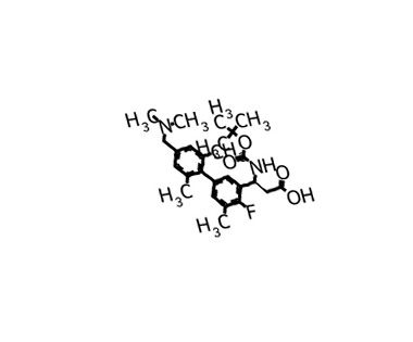 Cc1cc(-c2c(C)cc(CN(C)C)cc2C)cc([C@H](CC(=O)O)NC(=O)OC(C)(C)C)c1F